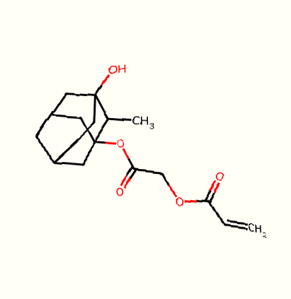 C=CC(=O)OCC(=O)OC12CC3CC(CC(O)(C3)C1C)C2